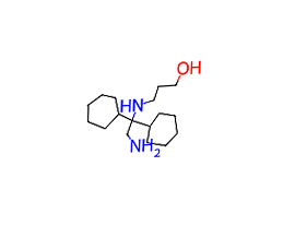 NCC(NCCCO)(C1CCCCC1)C1CCCCC1